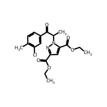 CCOC(=O)c1cc(C(=O)OCC)n(C(C)C(=O)c2ccc(C)c(Cl)c2)n1